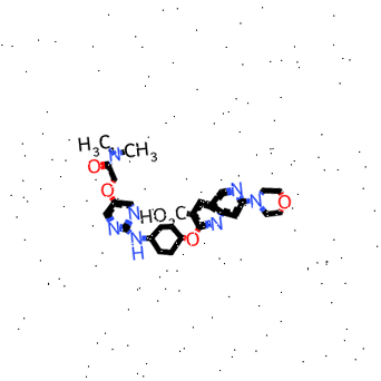 CN(C)C(=O)COc1cnc(NC2CCC(Oc3nc4cc(N5CCOCC5)ncc4cc3C(=O)O)CC2)nc1